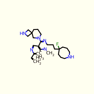 C=CC(=C)\N=C/C(=C(\C)N=C)C(=N\CCCC1(F)CCCNCCC1)/N1CCCC2(CNC2)C1